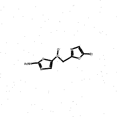 CCc1cnc(C[S+]([O-])c2cnc(NC(C)=O)s2)o1